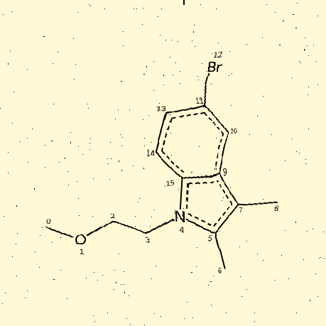 COCCn1c(C)c(C)c2cc(Br)ccc21